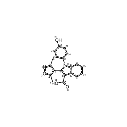 Cc1noc(C)c1-c1c(C(=O)O)c2ccccc2n1-c1ccc(O)cc1